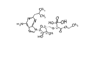 CCOC(=O)[C@H](OC[C@H]1O[C@@H](n2cnc3c(N)nc(CC(C)C)nc32)[C@H](O)[C@@H]1O)P(=O)(O)O